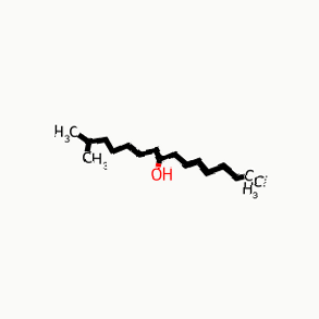 CCCCCCCC(O)CCCCCC(C)C.[C]